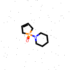 O=P1(N2CCCCC2)CC=CC1